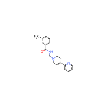 O=C(NCN1CC=C(c2ccccn2)CC1)c1cccc(C(F)(F)F)c1